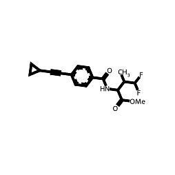 COC(=O)C(NC(=O)c1ccc(C#CC2CC2)cc1)C(C)C(F)F